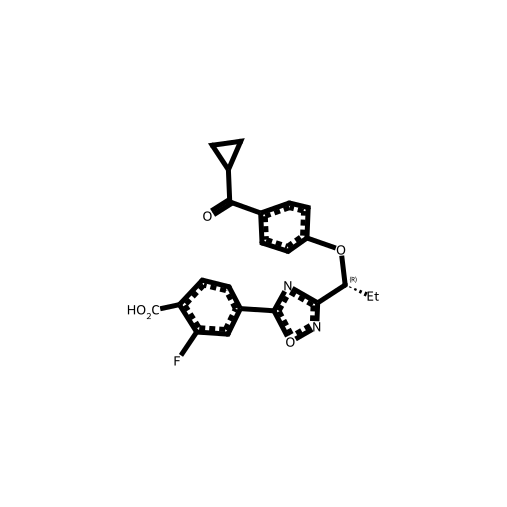 CC[C@@H](Oc1ccc(C(=O)C2CC2)cc1)c1noc(-c2ccc(C(=O)O)c(F)c2)n1